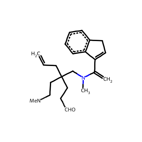 C=CCC(CCC=O)(CCNC)CN(C)C(=C)C1=CCc2ccccc21